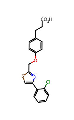 O=C(O)CCc1ccc(OCc2nc(-c3ccccc3Cl)cs2)cc1